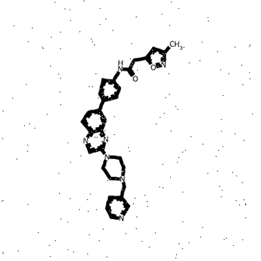 Cc1cc(CC(=O)Nc2ccc(-c3ccc4ncc(N5CCN(Cc6cccnc6)CC5)nc4c3)cc2)on1